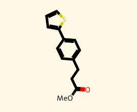 COC(=O)CCc1ccc(-c2cccs2)cc1